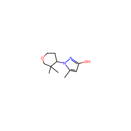 Cc1cc(O)nn1C1CCOCC1(C)C